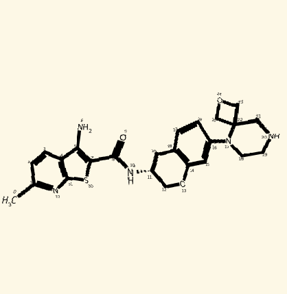 Cc1ccc2c(N)c(C(=O)N[C@H]3COc4cc(N5CCNCC56COC6)ccc4C3)sc2n1